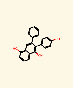 Oc1ccc(-c2c(-c3ccccc3)cc3c(O)cccc3c2O)cc1